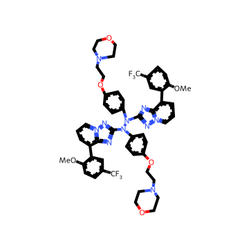 COc1ccc(C(F)(F)F)cc1-c1cccn2nc(N(c3ccc(OCCN4CCOCC4)cc3)N(c3ccc(OCCN4CCOCC4)cc3)c3nc4c(-c5cc(C(F)(F)F)ccc5OC)cccn4n3)nc12